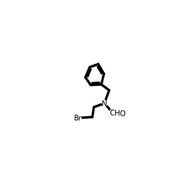 O=CN(CCBr)Cc1ccccc1